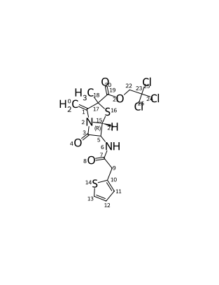 C=C1N2C(=O)C(NC(=O)Cc3cccs3)[C@H]2SC1(C)C(=O)OCC(Cl)(Cl)Cl